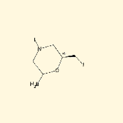 BC1CN(I)C[C@@H](CI)O1